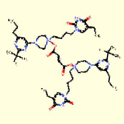 CCCc1cc(N2CC[N+](CCCCn3cc(CC)c(=O)[nH]c3=O)(OC(=O)/C=C/C(=O)O[N+]3(CCCCn4cc(CC)c(=O)[nH]c4=O)CCN(c4cc(CCC)nc(C(C)(C)C)n4)CC3)CC2)nc(C(C)(C)C)n1